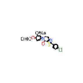 COc1cc(N2CCc3nc(-c4ccc(Cl)cc4)sc3C2=O)ccc1OCC=O